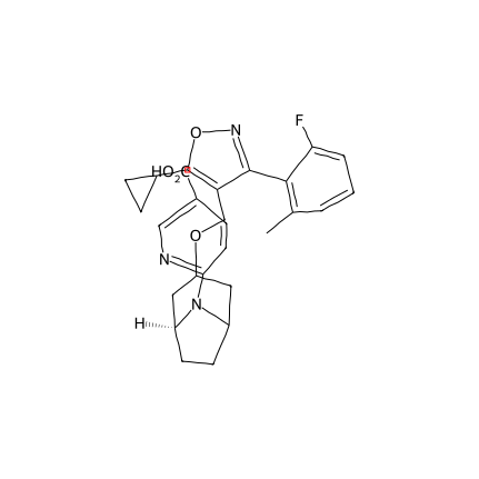 Cc1cccc(F)c1-c1noc(C2CC2)c1COC1CC2CC[C@@H](C1)N2c1ccc(C(=O)O)cn1